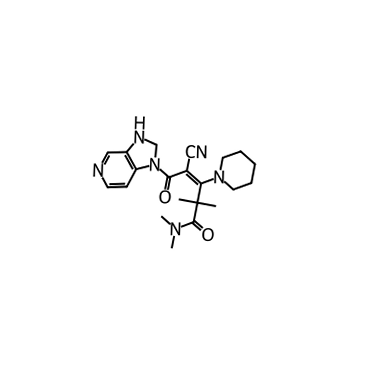 CN(C)C(=O)C(C)(C)C(=C(C#N)C(=O)N1CNc2cnccc21)N1CCCCC1